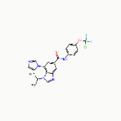 CC(C)n1cnc2cc(C(=O)Nc3ccc(OC(F)(F)Cl)cc3)cc(-n3ccnc3)c21